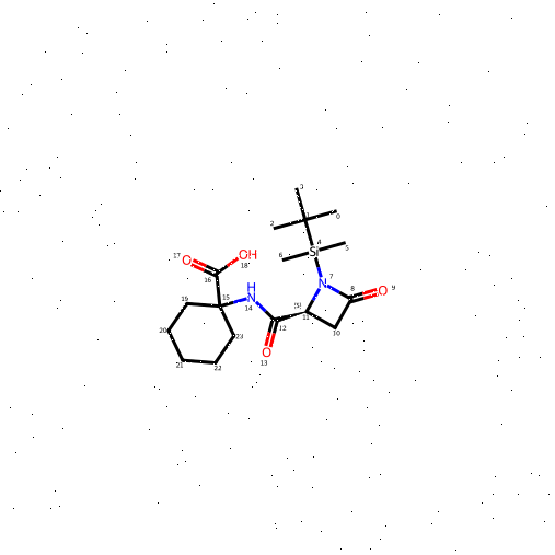 CC(C)(C)[Si](C)(C)N1C(=O)C[C@H]1C(=O)NC1(C(=O)O)CCCCC1